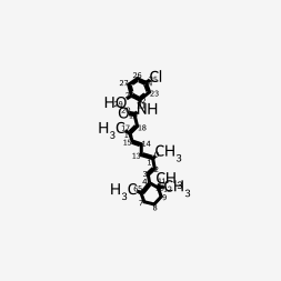 CC(C=CC1=C(C)CCCC1(C)C)=CC=CC(C)=CC(=O)Nc1cc(Cl)ccc1O